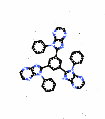 c1ccc(-n2c(-c3cc(-c4nc5nccnc5n4-c4ccccc4)cc(-c4[nH]c5nccnc5[n+]4-c4ccccc4)c3)nc3nccnc32)cc1